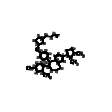 C=C1SC=C(c2ccc3c(c2)CCCC(c2ccc(Cl)cc2C)=C3c2ccc(OC3CCN(CCCF)C3)cc2)N1C